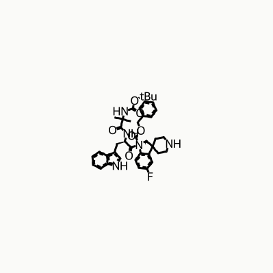 CC(C)(C)OC(=O)NC(C)(C)C(=O)N[C@H](Cc1c[nH]c2ccccc12)C(=O)[N+]1(C(=O)OCc2ccccc2)CC2(CCNCC2)c2cc(F)ccc21